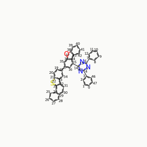 c1ccc(-c2nc(-c3ccccc3)nc(-c3cc(-c4ccc5sc6c7ccccc7ccc6c5c4)cc4oc5ccccc5c34)n2)cc1